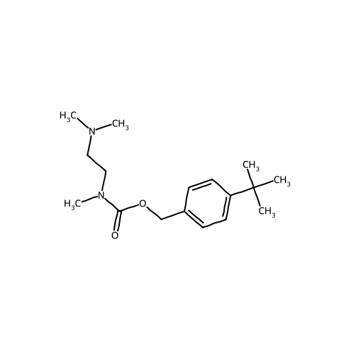 CN(C)CCN(C)C(=O)OCc1ccc(C(C)(C)C)cc1